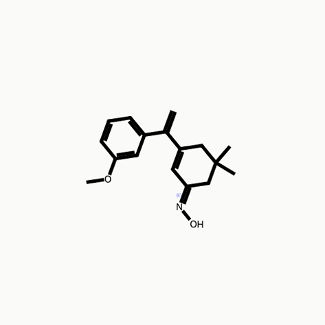 C=C(C1=C/C(=N/O)CC(C)(C)C1)c1cccc(OC)c1